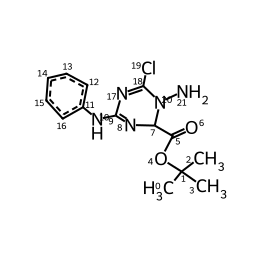 CC(C)(C)OC(=O)C1N=C(Nc2ccccc2)N=C(Cl)N1N